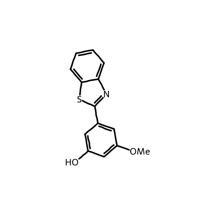 COc1cc(O)cc(-c2nc3ccccc3s2)c1